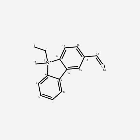 CC[N+]1(C)c2ccccc2-c2cc(C=O)ccc21